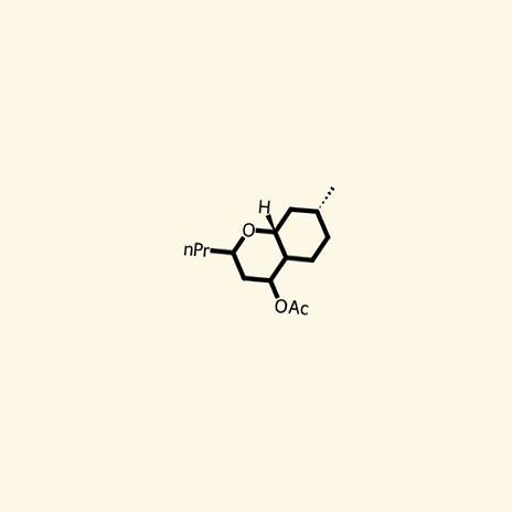 CCCC1CC(OC(C)=O)C2CC[C@@H](C)C[C@H]2O1